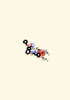 CCOP(=O)(OCC)c1ccc(C[C@H](N)C(=O)N[C@H]2CCCCc3cc(OCC4CCCCC4)c(C(N)=O)cc32)cc1P(=O)(OCC)OCC